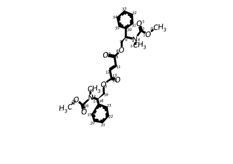 COC(=O)N(C)[C@@H](COC(=O)/C=C/C(=O)OC[C@@H](c1ccccc1)N(C)C(=O)OC)c1ccccc1